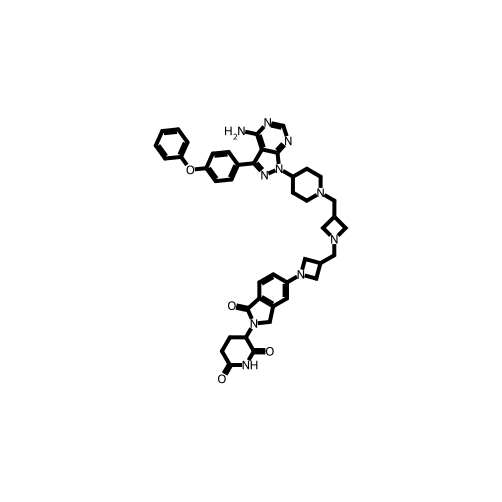 Nc1ncnc2c1c(-c1ccc(Oc3ccccc3)cc1)nn2C1CCN(CC2CN(CC3CN(c4ccc5c(c4)CN(C4CCC(=O)NC4=O)C5=O)C3)C2)CC1